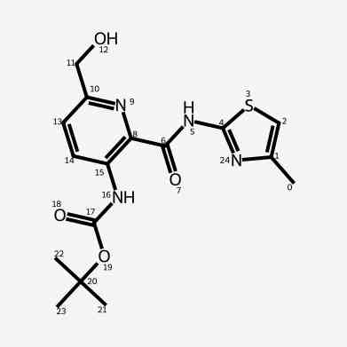 Cc1csc(NC(=O)c2nc(CO)ccc2NC(=O)OC(C)(C)C)n1